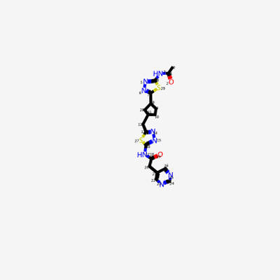 CC(=O)Nc1nnc(C2CCC(Cc3nnc(NC(=O)Cc4cncnc4)s3)C2)s1